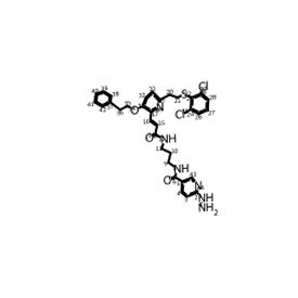 NNc1ccc(C(=O)NCCCNC(=O)C=Cc2nc(CCSc3c(Cl)cccc3Cl)ccc2OCCc2ccccc2)cn1